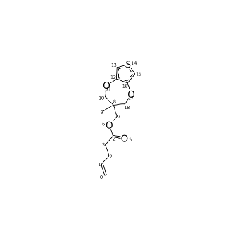 C=CCCC(=O)OCC1(C)COc2cscc2OC1